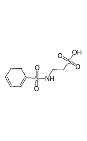 O=S(=O)(O)CCNS(=O)(=O)c1ccccc1